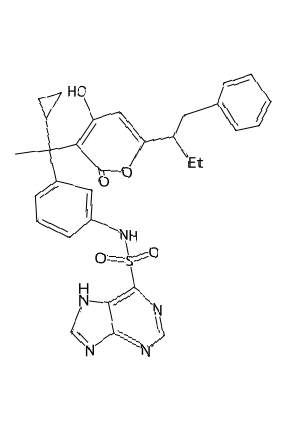 CCC(Cc1ccccc1)c1cc(O)c(C(C)(c2cccc(NS(=O)(=O)c3ncnc4nc[nH]c34)c2)C2CC2)c(=O)o1